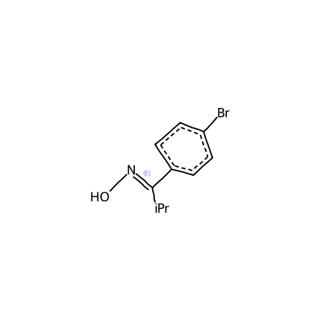 CC(C)/C(=N\O)c1ccc(Br)cc1